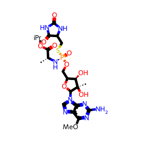 COc1nc(N)nc2c1ncn2C1OC(CO[P@@](=O)(N[C@H](C)C(=O)OC(C)C)SCC2NC(=O)NC2=O)[C@@H](O)[C@@]1(C)O